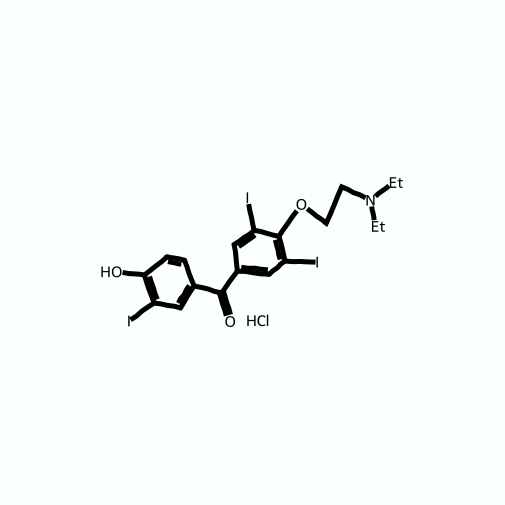 CCN(CC)CCOc1c(I)cc(C(=O)c2ccc(O)c(I)c2)cc1I.Cl